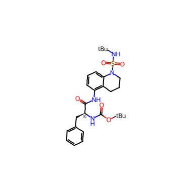 CC(C)(C)NS(=O)(=O)N1CCCc2c(NC(=O)[C@H](Cc3ccccc3)NC(=O)OC(C)(C)C)cccc21